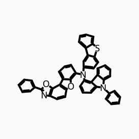 c1ccc(-c2nc3ccc4oc5c(N(c6ccc7sc8ccccc8c7c6)c6cccc7c6c6ccccc6n7-c6ccccc6)cccc5c4c3o2)cc1